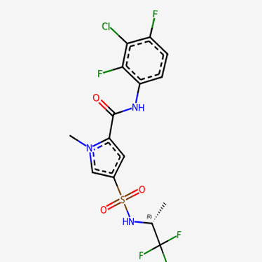 C[C@@H](NS(=O)(=O)c1cc(C(=O)Nc2ccc(F)c(Cl)c2F)n(C)c1)C(F)(F)F